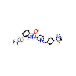 O=C(N[C@@H]1CCN(Cc2ccc(-c3nccs3)cc2)C1)c1cccc(OC(F)(F)F)c1